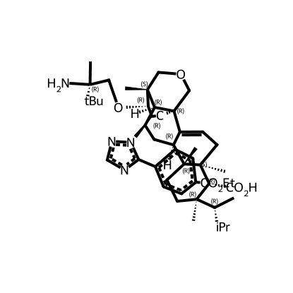 CCOC(=O)c1ccc(-c2ncnn2[C@@H]2C[C@@]34COC[C@](C)([C@@H]3CC[C@H]3C4=CC[C@@]4(C)[C@H](C(=O)O)[C@@](C)([C@H](C)C(C)C)CC[C@]34C)[C@H]2OC[C@](C)(N)C(C)(C)C)cc1